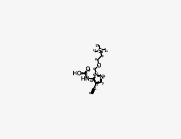 C#Cc1cnn(COCC[Si](C)(C)C)c1NC(=O)O